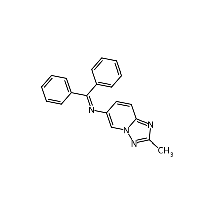 Cc1nc2ccc(N=C(c3ccccc3)c3ccccc3)cn2n1